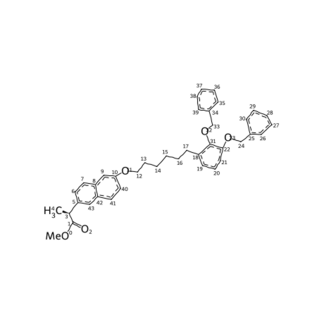 COC(=O)[C@@H](C)c1ccc2cc(OCCCCCCc3cccc(OCc4ccccc4)c3OCc3ccccc3)ccc2c1